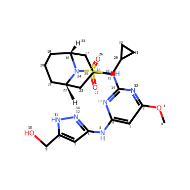 COc1cc(Nc2cc(CO)[nH]n2)nc(NC2C[C@H]3CCC[C@@H](C2)N3S(=O)(=O)CC2CC2)n1